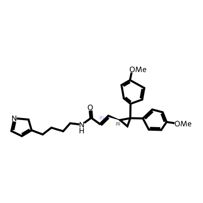 COc1ccc(C2(c3ccc(OC)cc3)C[C@H]2/C=C/C(=O)NCCCCC2=CC=NC2)cc1